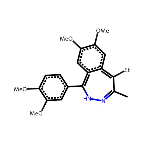 CCC1=c2cc(OC)c(OC)cc2=C(c2ccc(OC)c(OC)c2)NN=C1C